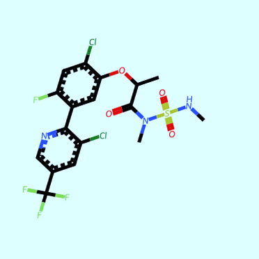 CNS(=O)(=O)N(C)C(=O)C(C)Oc1cc(-c2ncc(C(F)(F)F)cc2Cl)c(F)cc1Cl